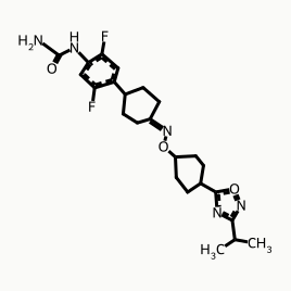 CC(C)c1noc(C2CCC(ON=C3CCC(c4cc(F)c(NC(N)=O)cc4F)CC3)CC2)n1